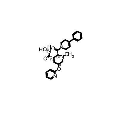 CN1C[C@@H](Oc2ccccn2)C[C@H](C(=O)NO)[C@H]1C(=O)N1CC=C(c2ccccc2)CC1